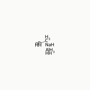 CCCC.[AlH3].[HH].[HH].[NaH]